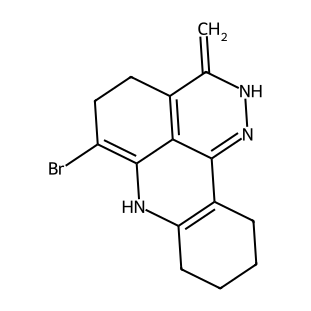 C=C1NN=C2C3=C(CCCC3)NC3=C(Br)CCC1=C23